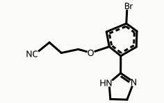 N#CCCCOc1cc(Br)ccc1C1=NCCN1